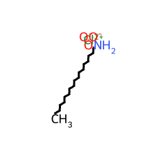 CCCCCCCCCCCCCCCCCC(N)O[Cl+2]([O-])[O-]